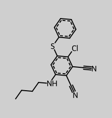 CCCCNc1cc(Sc2ccccc2)c(Cl)c(C#N)c1C#N